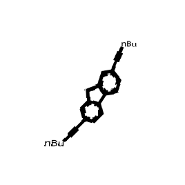 CCCCC#Cc1ccc2c(c1)[CH]c1cc(C#CCCCC)ccc1-2